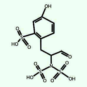 O=[C]C(Cc1ccc(O)cc1S(=O)(=O)O)N(S(=O)(=O)O)S(=O)(=O)O